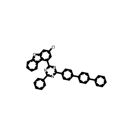 Clc1cc(-c2nc(-c3ccccc3)nc(-c3ccc(-c4ccc(-c5ccccc5)cc4)cc3)n2)c2c(c1)oc1ccccc12